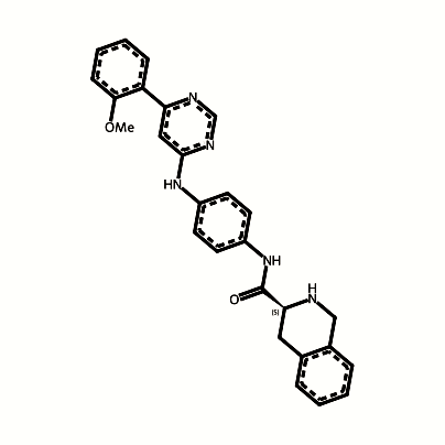 COc1ccccc1-c1cc(Nc2ccc(NC(=O)[C@@H]3Cc4ccccc4CN3)cc2)ncn1